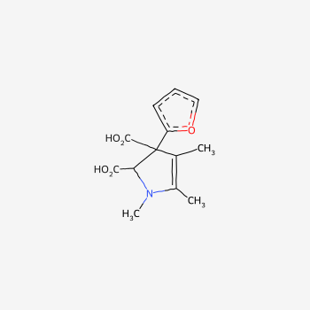 CC1=C(C)C(C(=O)O)(c2ccco2)C(C(=O)O)N1C